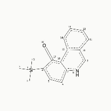 C[Si](C)(C)c1ccc2[nH]cc3ccccc3c-2c1=O